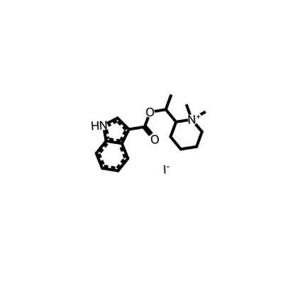 CC(OC(=O)c1c[nH]c2ccccc12)C1CCCC[N+]1(C)C.[I-]